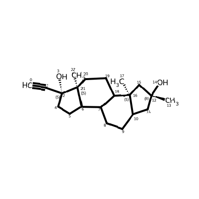 C#C[C@]1(O)CCC2C3CCC4C[C@@](C)(O)C[C@]4(C)C3CC[C@@]21C